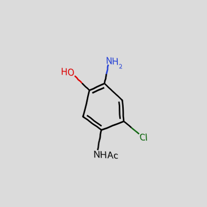 CC(=O)Nc1cc(O)c(N)cc1Cl